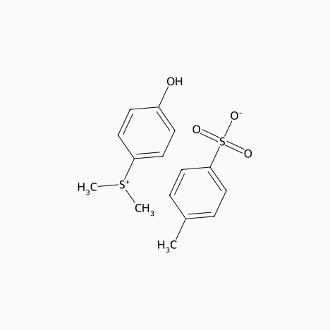 C[S+](C)c1ccc(O)cc1.Cc1ccc(S(=O)(=O)[O-])cc1